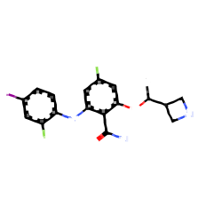 CC(=O)C(Oc1cc(F)cc(Nc2ccc(I)cc2F)c1C(N)=O)C1CNC1